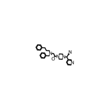 N#CC(c1cccnc1)N1CCN(C(=O)CN(CCCc2ccccc2)Cc2ccccc2)CC1